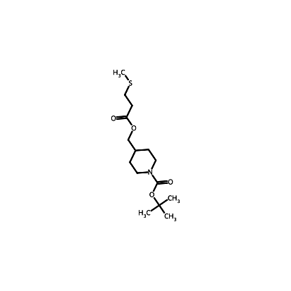 CSCCC(=O)OCC1CCN(C(=O)OC(C)(C)C)CC1